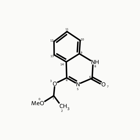 COC(C)Oc1nc(=O)[nH]c2ccccc12